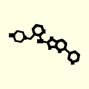 c1cncc(-c2ccc3nc(Nc4ncccc4CN4CCNCC4)sc3n2)c1